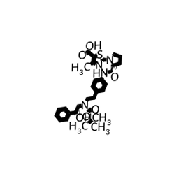 Cc1nc(N2CCC[C@H]2C(=O)Nc2ccc(CCN(C[C@H](O)c3ccccc3)C(=O)OC(C)(C)C)cc2)sc1C(=O)O